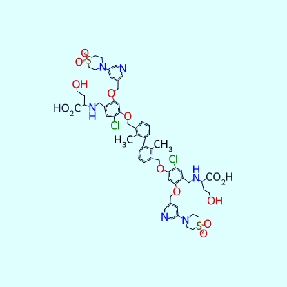 Cc1c(COc2cc(OCc3cncc(N4CCS(=O)(=O)CC4)c3)c(CNC(CCO)C(=O)O)cc2Cl)cccc1-c1cccc(COc2cc(OCc3cncc(N4CCS(=O)(=O)CC4)c3)c(CNC(CCO)C(=O)O)cc2Cl)c1C